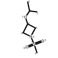 CC(C)OC1CN(S(C)(=O)=O)C1